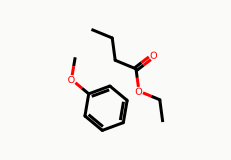 CCCC(=O)OCC.COc1ccccc1